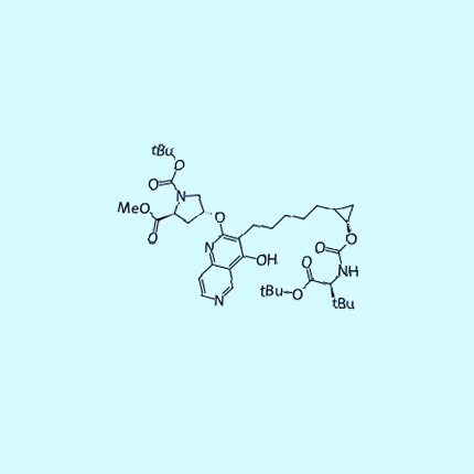 COC(=O)[C@@H]1C[C@@H](Oc2nc3ccncc3c(O)c2CCCCCC2C[C@H]2OC(=O)N[C@H](C(=O)OC(C)(C)C)C(C)(C)C)CN1C(=O)OC(C)(C)C